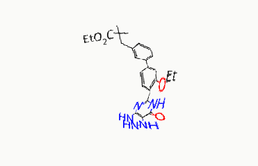 CCOC(=O)C(C)(C)Cc1cccc(-c2ccc(-c3nc4c(c(=O)[nH]3)NNN4)c(OCC)c2)c1